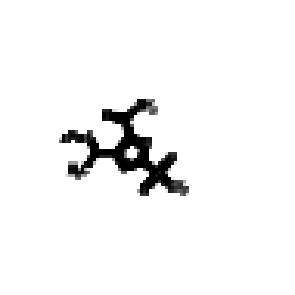 CCCCCC(C)c1cc(S(C)(=O)=O)oc1C(N)=O